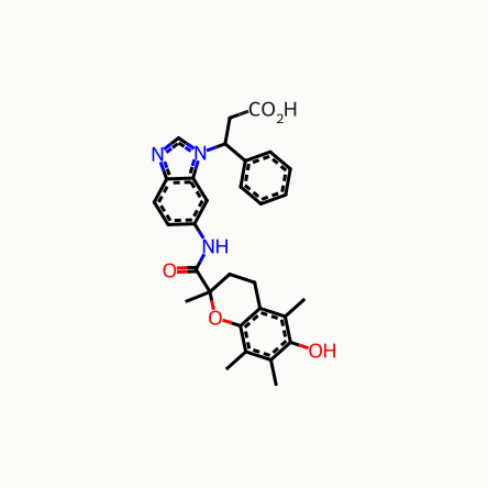 Cc1c(C)c2c(c(C)c1O)CCC(C)(C(=O)Nc1ccc3ncn(C(CC(=O)O)c4ccccc4)c3c1)O2